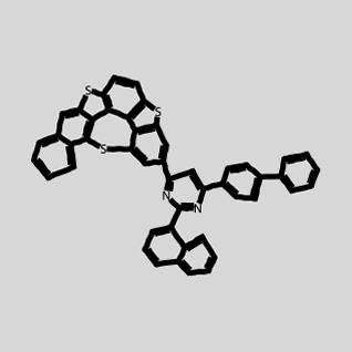 c1ccc(-c2ccc(-c3cc(-c4cc5sc6ccc7sc8cc9ccccc9c9sc(c4)c5c6c7c89)nc(-c4cccc5ccccc45)n3)cc2)cc1